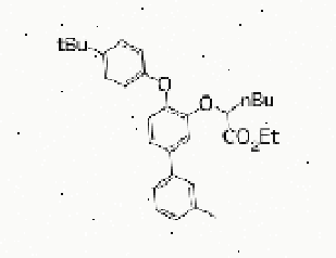 CCCCC(Oc1cc(-c2cccc(C)c2)ccc1Oc1ccc(C(C)(C)C)cc1)C(=O)OCC